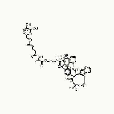 CCC1(O)CNCCc2c([nH]c3ccccc23)/C(C(=O)OC)=C(/c2cc3c(cc2OC)N(C)C2[C@]34CCN3CC=C[C@](CC)(C34)[C@@H](O)[C@]2(O)C(=O)NCCCOC(=O)C(C)NC(=O)CCCC(=O)OCC(OC(CO)C(C)(C)C)OC(C)(C)C)[C@H](C)C1